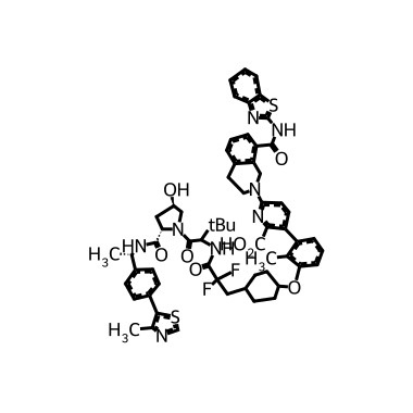 Cc1ncsc1-c1ccc([C@H](C)NC(=O)[C@@H]2C[C@@H](O)CN2C(=O)C(NC(=O)C(F)(F)CC2CCC(Oc3cccc(-c4ccc(N5CCc6cccc(C(=O)Nc7nc8ccccc8s7)c6C5)nc4C(=O)O)c3C)CC2)C(C)(C)C)cc1